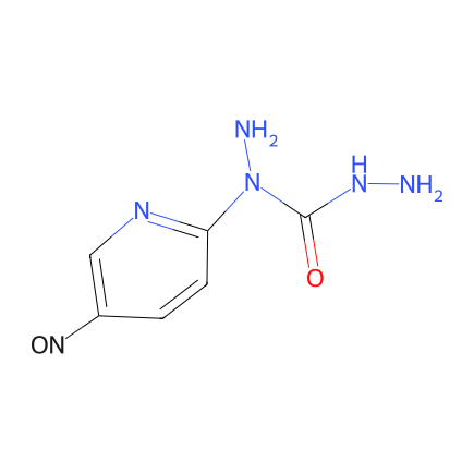 NNC(=O)N(N)c1ccc(N=O)cn1